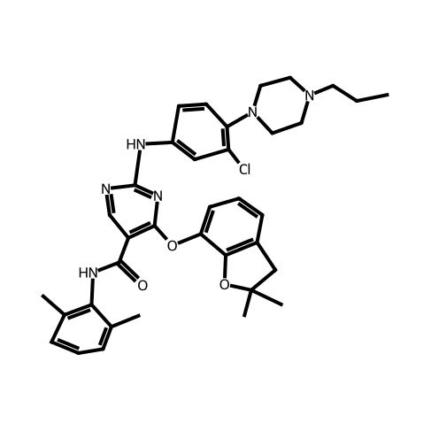 CCCN1CCN(c2ccc(Nc3ncc(C(=O)Nc4c(C)cccc4C)c(Oc4cccc5c4OC(C)(C)C5)n3)cc2Cl)CC1